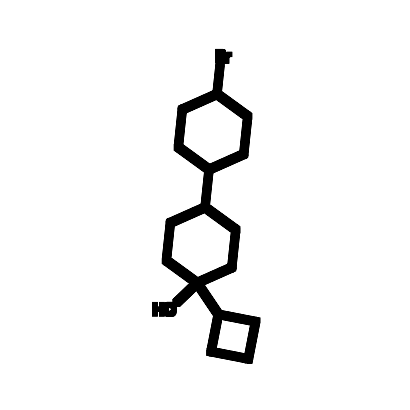 OC1(C2CCC2)CCC(C2CCC(Br)CC2)CC1